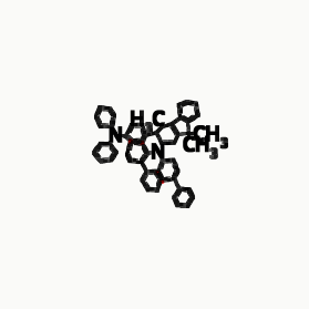 CC1C2=C(C=C(N(c3ccc(-c4ccccc4)cc3)c3ccccc3-c3ccccc3)C1c1ccc(N(c3ccccc3)c3ccccc3)cc1)C(C)(C)c1ccccc12